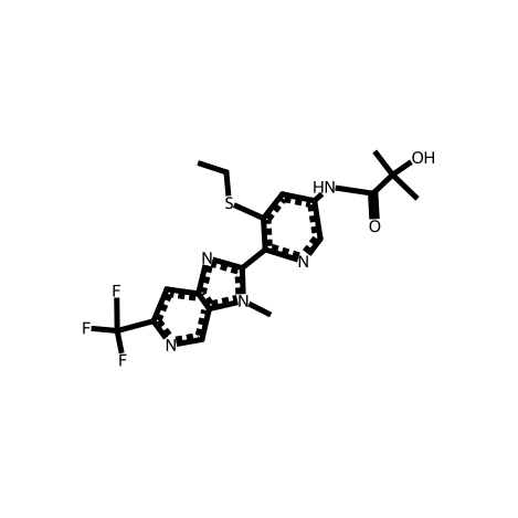 CCSc1cc(NC(=O)C(C)(C)O)cnc1-c1nc2cc(C(F)(F)F)ncc2n1C